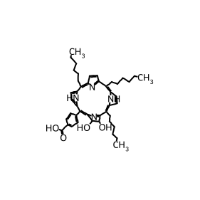 CCCCCCc1c2nc(c(CCCCCC)c3ccc([nH]3)c(-c3ccc(C(=O)O)cc3)c3nc(c(CCCCCC)c4ccc1[nH]4)C(O)C3O)C=C2